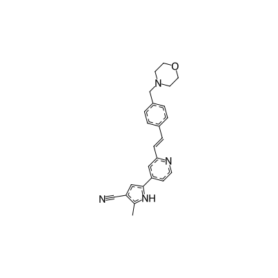 Cc1[nH]c(-c2ccnc(C=Cc3ccc(CN4CCOCC4)cc3)c2)cc1C#N